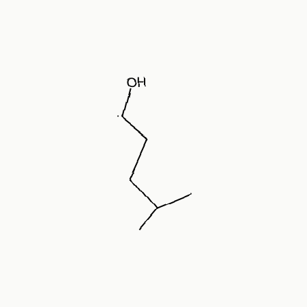 CC(C)CC[CH]O